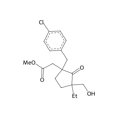 CCC1(CO)CCC(CC(=O)OC)(Cc2ccc(Cl)cc2)C1=O